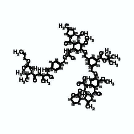 C=CCOC(=O)NC(C(=O)NC(C)C(=O)Nc1ccc(COC(=O)Nc2cc(OCc3cc(COc4cc5c(cc4OC)C(=O)N4CC(=C)C[C@H]4[C@H](OC4CCCCO4)N5C(=O)O)cc(C(=O)OC(C)(C)C)c3)c(OC)cc2C(=O)N2CC(=C)C[C@H]2CO)cc1)C(C)C